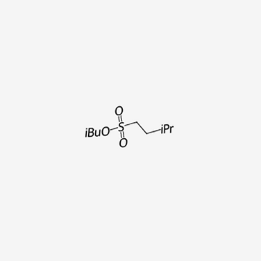 CC(C)CCS(=O)(=O)OCC(C)C